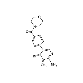 C=C1C(=N)C(c2ccc(C(=O)N3CCOCC3)cc2)=CN=C1N